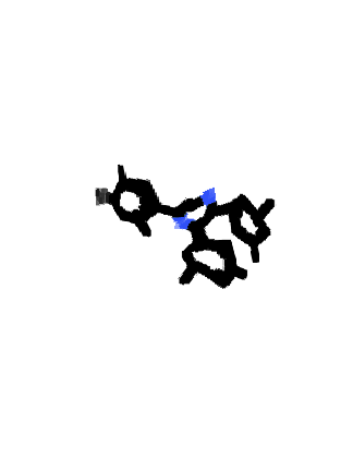 Cc1cc(C)cc(-c2ncc(-c3cc(C)c(C#N)cc3C)nc2-c2cc(C)cc(C)c2)c1